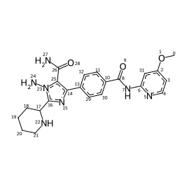 COc1ccnc(NC(=O)c2ccc(-c3nc(C4CCCCN4)n(N)c3C(N)=O)cc2)c1